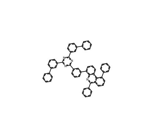 c1ccc(-c2cccc(-c3nc(-c4cccc(-c5ccccc5)c4)nc(-c4cccc(-c5cccc6c5nc(-c5ccccc5)c5cccc(-c7ccccc7)c56)c4)n3)c2)cc1